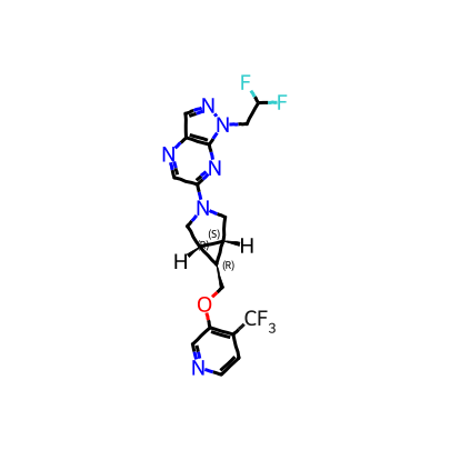 FC(F)Cn1ncc2ncc(N3C[C@@H]4[C@@H](COc5cnccc5C(F)(F)F)[C@@H]4C3)nc21